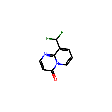 O=c1ccnc2c(C(F)F)cccn12